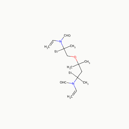 C=CN(C=O)C(C)(CC)COC(C)(C)CC(C)(CC)N(C=C)C=O